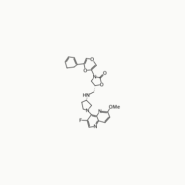 COc1ccc2ncc(F)c(N3CC[C@H](NC[C@@H]4CN(C5=COC=C(C6=CC=CCC6)O5)C(=O)O4)C3)c2n1